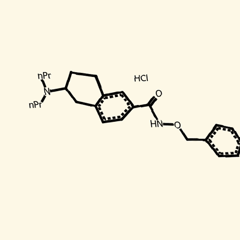 CCCN(CCC)C1CCc2cc(C(=O)NOCc3ccccc3)ccc2C1.Cl